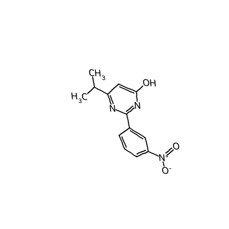 CC(C)c1cc(O)nc(-c2cccc([N+](=O)[O-])c2)n1